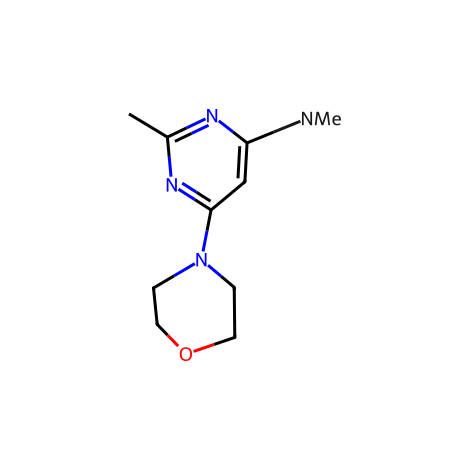 CNc1cc(N2CCOCC2)nc(C)n1